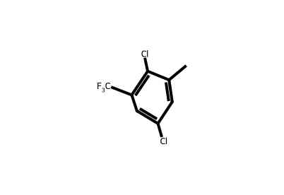 Cc1cc(Cl)cc(C(F)(F)F)c1Cl